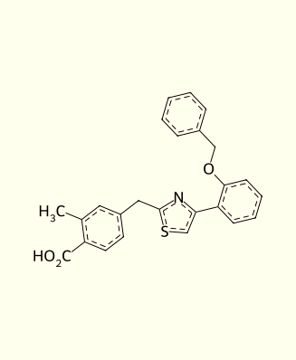 Cc1cc(Cc2nc(-c3ccccc3OCc3ccccc3)cs2)ccc1C(=O)O